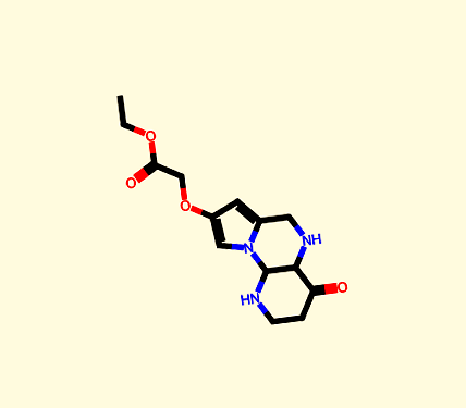 CCOC(=O)COc1cc2n(c1)C1NCCC(=O)C1NC2